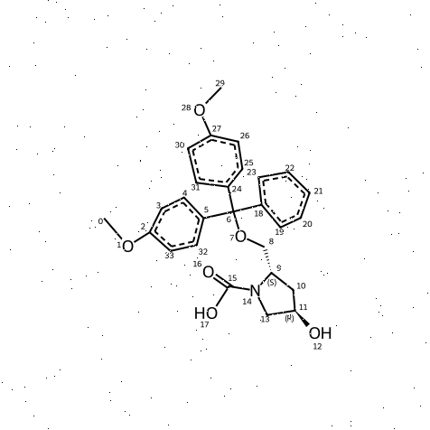 COc1ccc(C(OC[C@@H]2C[C@@H](O)CN2C(=O)O)(c2ccccc2)c2ccc(OC)cc2)cc1